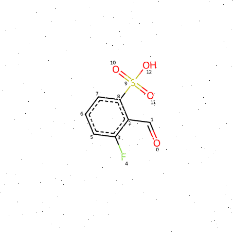 O=Cc1c(F)cccc1S(=O)(=O)O